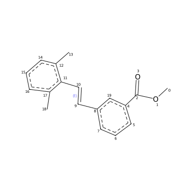 COC(=O)c1cccc(/C=C/c2c(C)cccc2C)c1